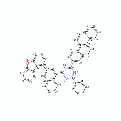 c1ccc(-c2nc(-c3ccc4c(ccc5c6ccccc6ccc45)c3)nc(-c3cc(-c4cccc5oc6ccccc6c45)cc4ccccc34)n2)cc1